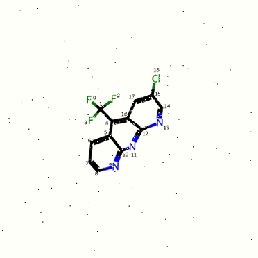 FC(F)(F)c1c2cccnc2nc2ncc(Cl)cc12